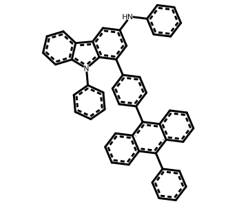 c1ccc(Nc2cc(-c3ccc(-c4c5ccccc5c(-c5ccccc5)c5ccccc45)cc3)c3c(c2)c2ccccc2n3-c2ccccc2)cc1